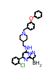 Bc1cnn2c(NCC3CCN(Cc4cccc(Oc5ccccc5)c4)CC3)cc(-c3ccccc3Cl)nc12